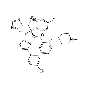 COC(n1cncn1)[C@](OC(=O)c1ccccc1CN1CCN(C)CC1)(c1ccc(F)cc1F)[C@@H](C)c1nc(-c2ccc(C#N)cc2)cs1